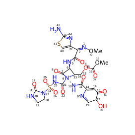 CO/N=C(\C(=O)N[C@@H]1C(=O)[N@+](NC(=O)C2=CC(=O)C(O)C=N2)(C(=O)NS(=O)(=O)N2CCNC2=O)C1COC(=O)OC)c1csc(N)n1